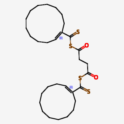 O=C(CCC(=O)SC(=S)/C1=C/CCCCCCCCCCC1)SC(=S)/C1=C/CCCCCCCCCC1